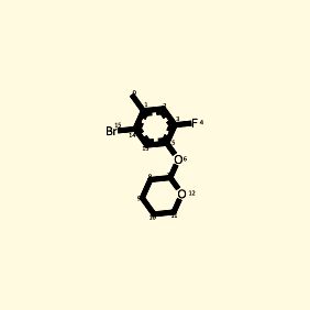 Cc1cc(F)c(OC2CCCCO2)cc1Br